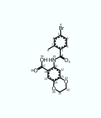 Cc1cc(Br)ccc1C(=O)Nc1cc2c(cc1C(=O)O)OCCO2